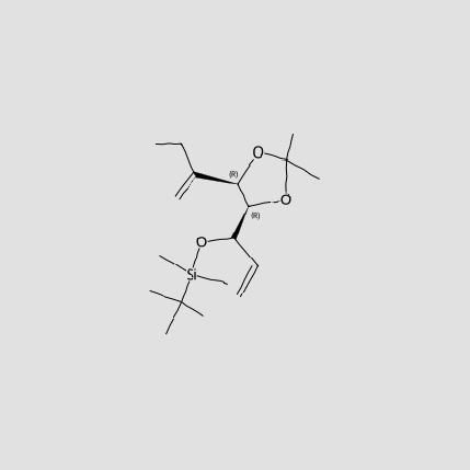 C=CC(O[Si](C)(C)C(C)(C)C)[C@@H]1OC(C)(C)O[C@@H]1C(=C)CC